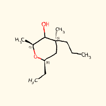 CCC[C@@]1(C)C[C@@H](CC)O[C@@H](C)C1O